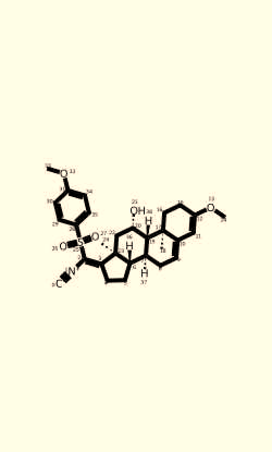 [C-]#[N+]/C(=C1\CC[C@H]2[C@@H]3CC=C4C=C(OC)CC[C@]4(C)[C@H]3[C@@H](O)C[C@]12C)S(=O)(=O)c1ccc(OC)cc1